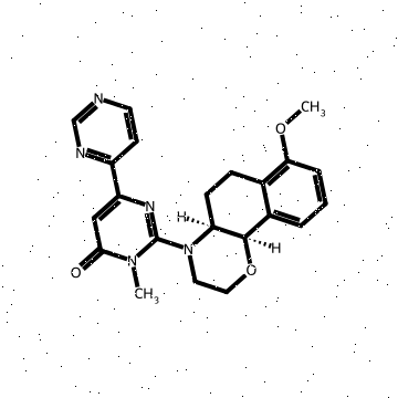 COc1cccc2c1CC[C@H]1[C@@H]2OCCN1c1nc(-c2ccncn2)cc(=O)n1C